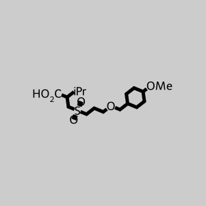 COC1CCC(COCCCS(=O)(=O)CC(C(=O)O)C(C)C)CC1